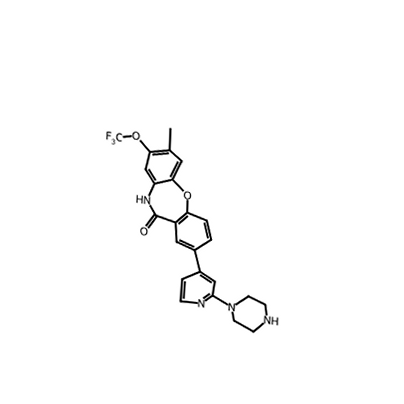 Cc1cc2c(cc1OC(F)(F)F)NC(=O)c1cc(-c3ccnc(N4CCNCC4)c3)ccc1O2